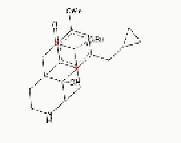 COc1cc(CC2CC2)c2c(c1)C13CCNC(C2)C1(O)CC(OCC(C)C)C(=O)C3